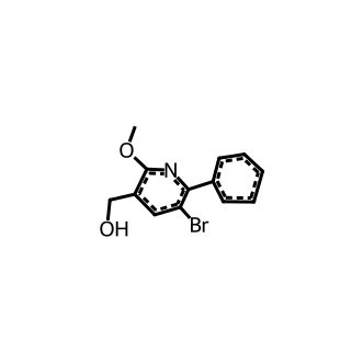 COc1nc(-c2ccccc2)c(Br)cc1CO